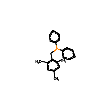 Cc1cc(C)c(CP(c2ccccc2)c2ccccc2)c(C)c1